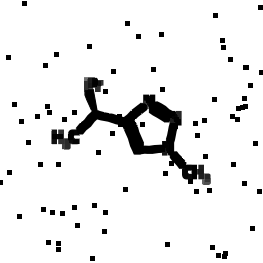 CC(C)[C@H](C)c1cn(C)nn1